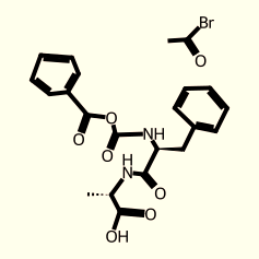 CC(=O)Br.C[C@H](NC(=O)[C@H](Cc1ccccc1)NC(=O)OC(=O)c1ccccc1)C(=O)O